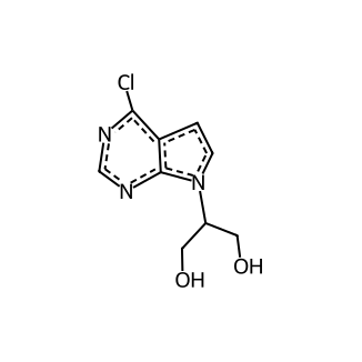 OCC(CO)n1ccc2c(Cl)ncnc21